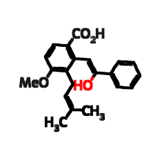 COc1ccc(C(=O)O)c(C=C(O)c2ccccc2)c1CC=C(C)C